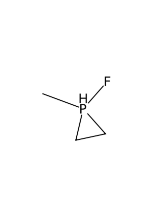 C[PH]1(F)CC1